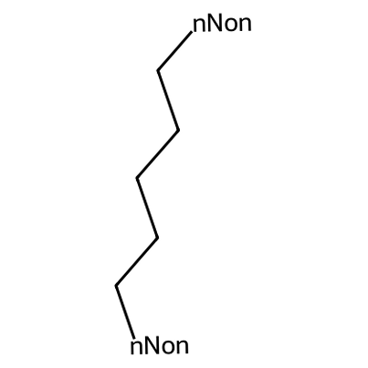 CC[CH]CCCCCCCCCCCCCCCCCCCC